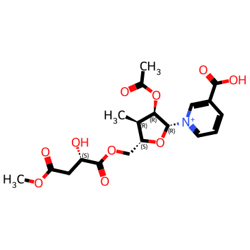 COC(=O)C[C@H](O)C(=O)OC[C@H]1O[C@@H]([n+]2cccc(C(=O)O)c2)[C@H](OC(C)=O)[C@@H]1C